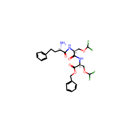 N[C@@H](CCc1ccccc1)C(=O)N[C@@H](COC(F)F)C(=O)N[C@@H](COC(F)F)C(=O)OCc1ccccc1